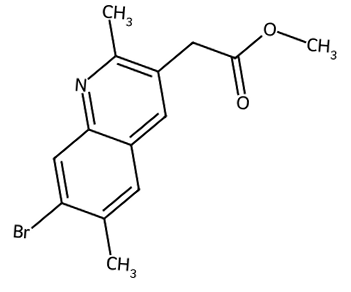 COC(=O)Cc1cc2cc(C)c(Br)cc2nc1C